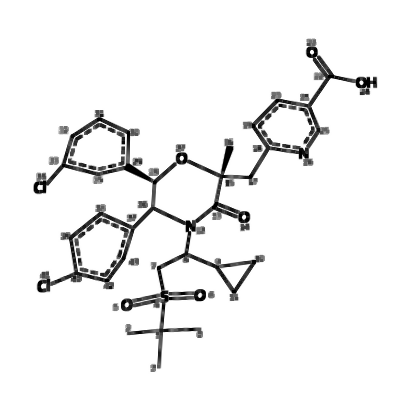 CC(C)(C)S(=O)(=O)CC(C1CC1)N1C(=O)[C@@](C)(Cc2ccc(C(=O)O)cn2)O[C@H](c2cccc(Cl)c2)C1c1ccc(Cl)cc1